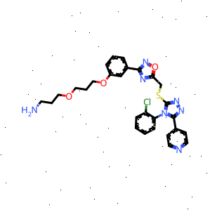 NCCCOCCCOc1cccc(-c2noc(CSc3nnc(-c4ccncc4)n3-c3ccccc3Cl)n2)c1